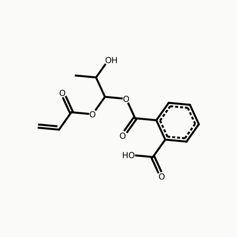 C=CC(=O)OC(OC(=O)c1ccccc1C(=O)O)C(C)O